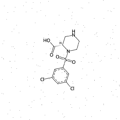 O=C(O)[C@@H]1CNCCN1S(=O)(=O)c1cc(Cl)cc(Cl)c1